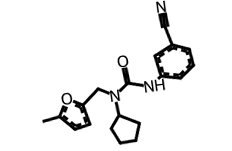 Cc1ccc(CN(C(=O)Nc2cccc(C#N)c2)C2CCCC2)o1